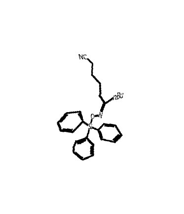 CCCCC(CCCCC#N)=NO[Si](c1ccccc1)(c1ccccc1)c1ccccc1